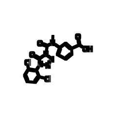 CN(C(=O)n1nnn(-c2c(Cl)cccc2Cl)c1=O)c1cccc(C(=O)O)c1